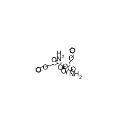 CC(OC(=O)OC(C)C(CCCCOCc1ccccc1)C(N)=O)C(CCCCOCc1ccccc1)C(N)=O